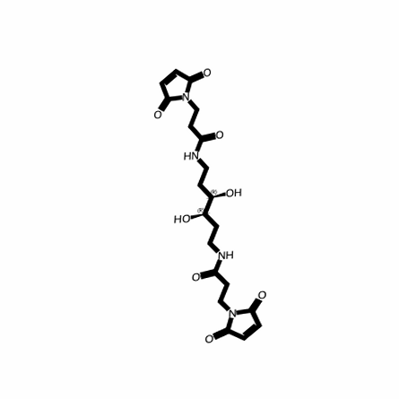 O=C(CCN1C(=O)C=CC1=O)NCC[C@@H](O)[C@H](O)CCNC(=O)CCN1C(=O)C=CC1=O